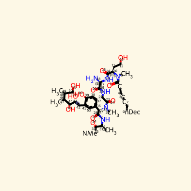 CCCCCCCCCCCCCCCC(=O)N(C)[C@H](CCO)C(=O)N[C@H](N)C(=O)NCC(=O)N(C)[C@H](C(=O)N[C@@H](C)C(=O)NC)c1ccc(O)c(/C=C/C(O)C(C)[C@@H](C)C(O)O)c1